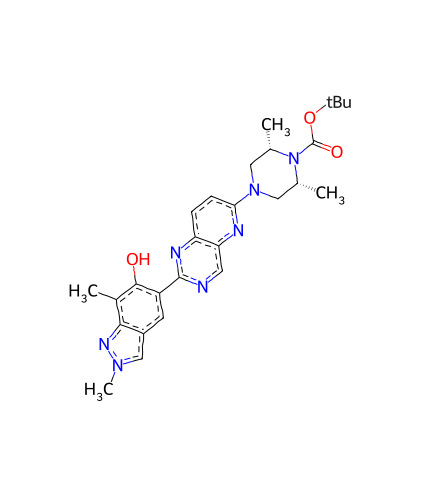 Cc1c(O)c(-c2ncc3nc(N4C[C@@H](C)N(C(=O)OC(C)(C)C)[C@@H](C)C4)ccc3n2)cc2cn(C)nc12